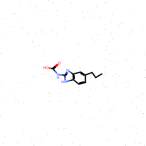 CCCc1ccc2[nH]c(NC(=O)O)nc2c1